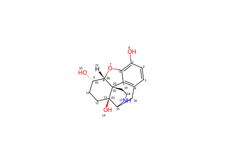 Oc1ccc2c3c1O[C@H]1[C@@H](O)CC[C@@]4(O)C(C2)NCC[C@]314